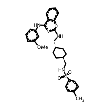 COc1cccc(Nc2nc(NC[C@H]3CC[C@H](CNS(=O)(=O)c4ccc(C)cc4)CC3)nc3ccccc23)c1